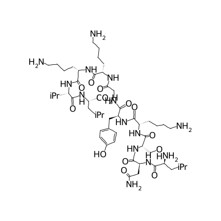 CC(C)C[C@H](NC(=O)[C@@H](NC(=O)[C@H](CCCCN)NC(=O)[C@H](CCCCN)NC(=O)CNC(=O)[C@H](Cc1ccc(O)cc1)NC(=O)[C@H](CCCCN)NC(=O)[C@H](CO)NC(=O)[C@H](CC(N)=O)NC(=O)[C@@H](N)CC(C)C)C(C)C)C(=O)O